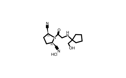 Cl.N#C[C@@H]1CC[C@H](C#N)N1C(=O)CNC1(CO)CCCC1